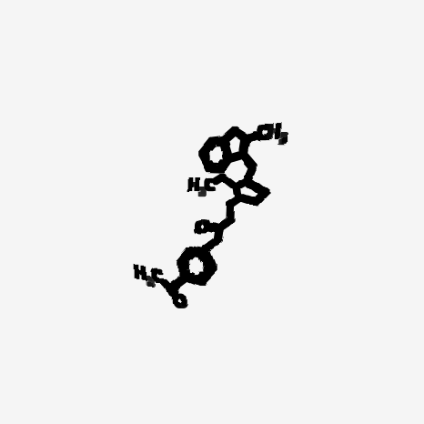 CCC1C(CCC(=O)Cc2ccc(C(C)=O)cc2)=CC=C1CC1=C(C)Cc2ccccc21